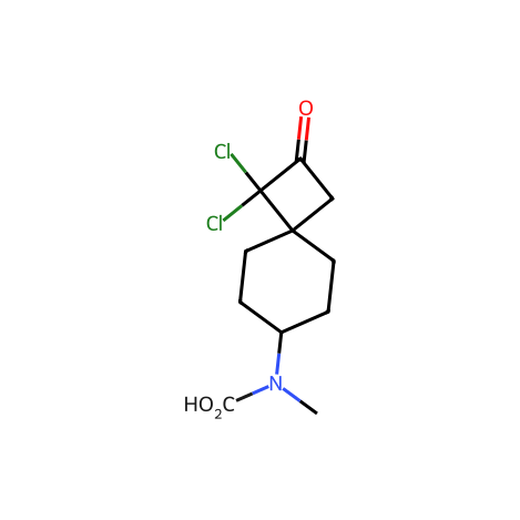 CN(C(=O)O)C1CCC2(CC1)CC(=O)C2(Cl)Cl